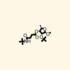 CO[C@@H]1O[C@H](C)[C@@H](OC(=O)CCC(=O)NC(C)(C)C)[C@H]1OC(C)(C)C